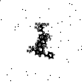 C=C(C)[C@@H]1CC[C@]2(C(=O)NCc3cccnc3)CC[C@]3(C)[C@H](CC[C@@H]4[C@@]5(C)CC[C@H](OC(=O)CC(C)(C)C(=O)O)C(C)(C)[C@@H]5CC[C@]43C)[C@@H]12